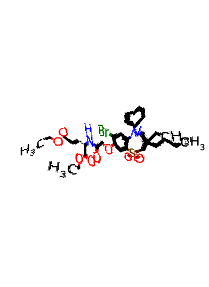 CCCCC1(CC)CN(c2ccccc2)c2cc(Br)c(OCC(=O)N[C@@H](CCC(=O)OCC)C(=O)OCC)cc2S(=O)(=O)C1